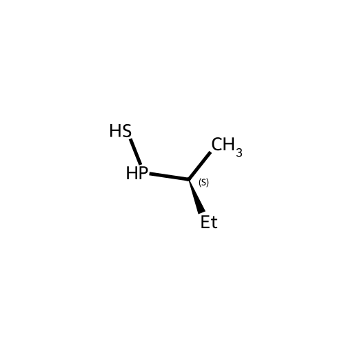 CC[C@H](C)PS